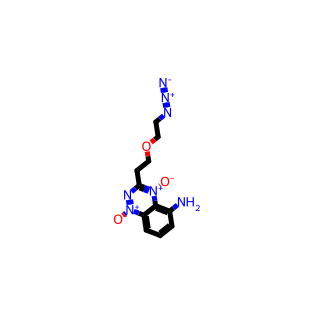 [N-]=[N+]=NCCOCCc1n[n+]([O-])c2cccc(N)c2[n+]1[O-]